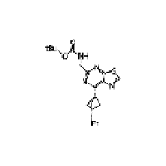 CC(C)C12CC(c3nc(CNC(=O)OC(C)(C)C)nc4scnc34)(C1)C2